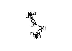 CCN(CCCCCN(CC)c1ccc(N=Nc2n(CC)nc[n+]2CC)cc1)c1ccc(N=Nc2n(CC)nc[n+]2CC)cc1